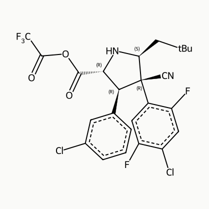 CC(C)(C)C[C@@H]1N[C@@H](C(=O)OC(=O)C(F)(F)F)[C@H](c2cccc(Cl)c2)[C@@]1(C#N)c1cc(F)c(Cl)cc1F